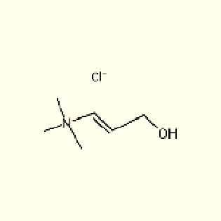 C[N+](C)(C)/C=C/CO.[Cl-]